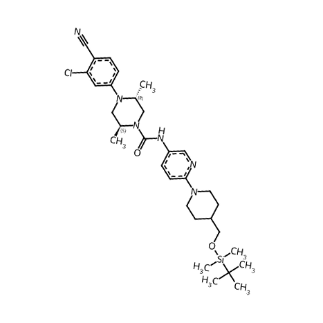 C[C@@H]1CN(C(=O)Nc2ccc(N3CCC(CO[Si](C)(C)C(C)(C)C)CC3)nc2)[C@@H](C)CN1c1ccc(C#N)c(Cl)c1